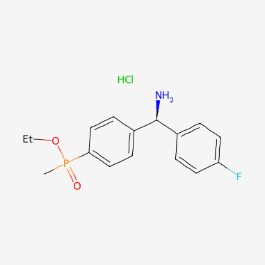 CCOP(C)(=O)c1ccc([C@@H](N)c2ccc(F)cc2)cc1.Cl